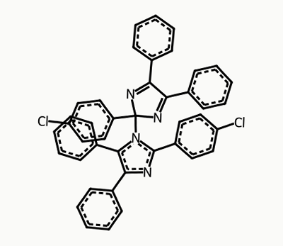 Clc1ccc(-c2nc(-c3ccccc3)c(-c3ccccc3)n2C2(c3ccc(Cl)cc3)N=C(c3ccccc3)C(c3ccccc3)=N2)cc1